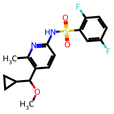 COC(c1ccc(NS(=O)(=O)c2cc(F)ccc2F)nc1C)C1CC1